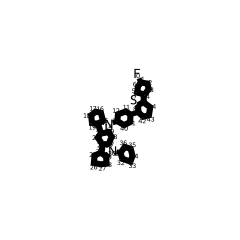 Fc1ccc2c(c1)sc1c(-c3ccc(-n4c5ccccc5c5cc6c7ccccc7n(-c7ccccc7)c6cc54)cc3)cccc12